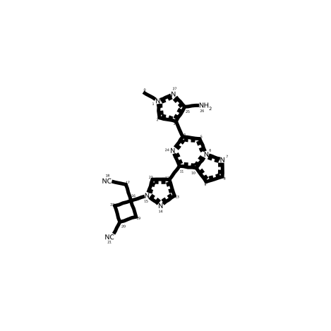 Cn1cc(-c2cn3nccc3c(-c3cnn(C4(CC#N)CC(C#N)C4)c3)n2)c(N)n1